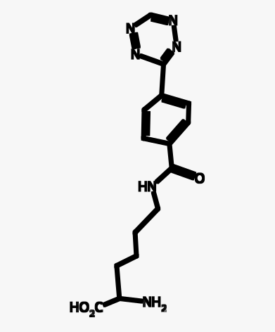 NC(CCCCNC(=O)c1ccc(-c2nncnn2)cc1)C(=O)O